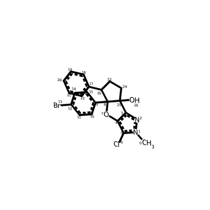 Cn1nc2c(c1Cl)OC1(c3ccc(Br)cc3)C(c3ccccc3)CCC21O